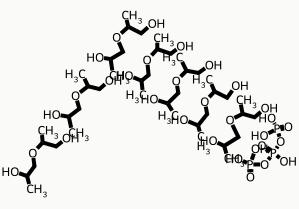 CC(O)COC(C)CO.CC(O)COC(C)CO.CC(O)COC(C)CO.CC(O)COC(C)CO.CC(O)COC(C)CO.CC(O)COC(C)CO.CC(O)COC(C)CO.O=P(O)(O)OP(=O)(O)OP(=O)(O)O